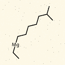 C[CH2][Mg][CH2]CCCCC(C)C